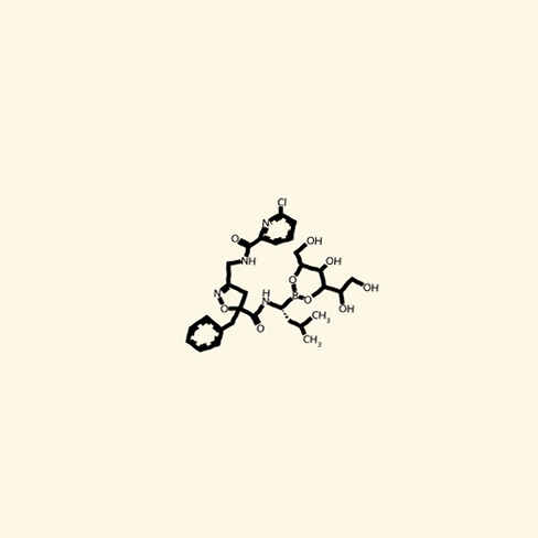 CC(C)C[C@H](NC(=O)C1(Cc2ccccc2)CC(CNC(=O)c2cccc(Cl)n2)=NO1)B1OC(CO)C(O)C(C(O)CO)O1